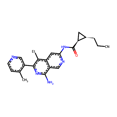 CCc1c(-c2cnccc2C)nc(N)c2cnc(NC(=O)[C@H]3C[C@@H]3CCC#N)cc12